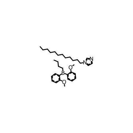 CCCCB(c1ccccc1OC)c1ccccc1OC.CCCCCCCCCCCCn1ccnc1